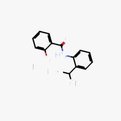 COc1ccccc1C(=O)Nc1ccccc1C(C)C